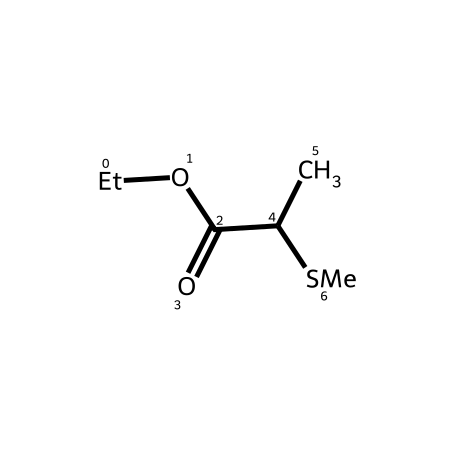 CCOC(=O)C(C)SC